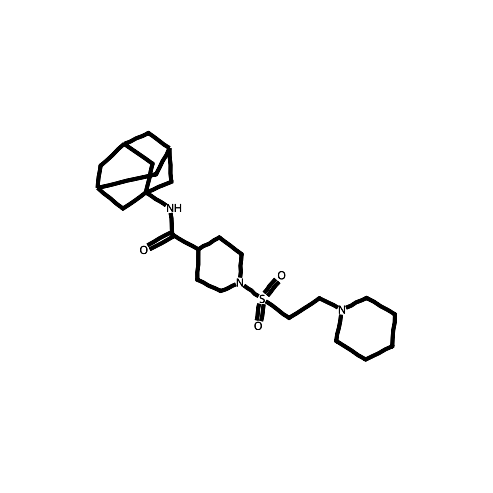 O=C(NC12CC3CC(CC(C3)C1)C2)C1CCN(S(=O)(=O)CCN2CCCCC2)CC1